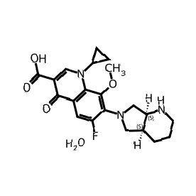 COc1c(N2C[C@@H]3CCCN[C@@H]3C2)c(F)cc2c(=O)c(C(=O)O)cn(C3CC3)c12.O